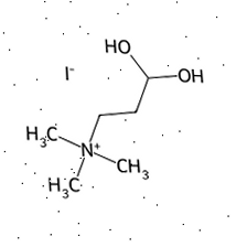 C[N+](C)(C)CCC(O)O.[I-]